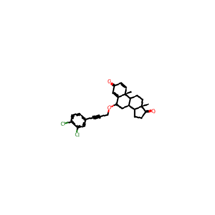 CC12C=CC(=O)C=C1C(OCC#Cc1ccc(Cl)c(Cl)c1)CC1C2CCC2(C)C(=O)CCC12